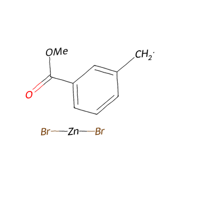 [Br][Zn][Br].[CH2]c1cccc(C(=O)OC)c1